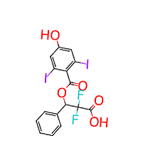 O=C(OC(c1ccccc1)C(F)(F)C(=O)O)c1c(I)cc(O)cc1I